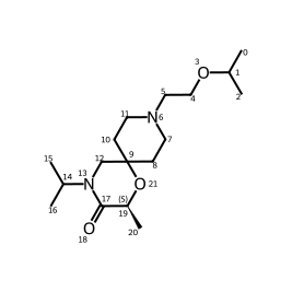 CC(C)OCCN1CCC2(CC1)CN(C(C)C)C(=O)[C@H](C)O2